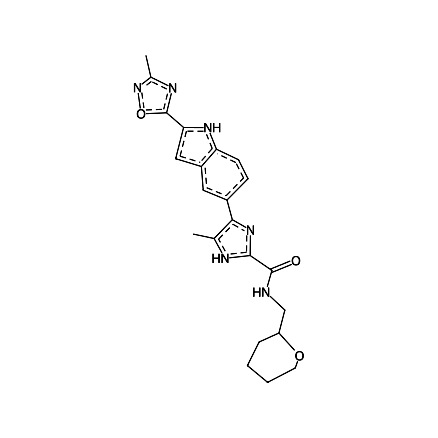 Cc1noc(-c2cc3cc(-c4nc(C(=O)NCC5CCCCO5)[nH]c4C)ccc3[nH]2)n1